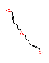 OCC#CCCC=COC=CCCC#CCO